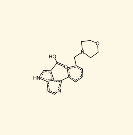 O=C(O)c1c[nH]c2ncnc(-c3cccc(CN4CCOCC4)c3)c12